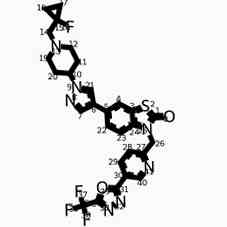 O=c1sc2cc(-c3cnn(C4CCN(CC5(F)CC5)CC4)c3)ccc2n1Cc1ccc(-c2nnc(C(F)(F)F)o2)cn1